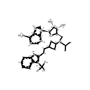 CC(C)N(C[C@H]1O[C@@H](n2cnc3c(N)ncnc32)[C@H](O)[C@@H]1O)C1CC(CCc2nc3ccccc3n2C(F)(F)F)C1